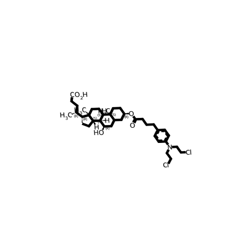 C[C@H](CCC(=O)O)[C@H]1CC[C@H]2[C@@H]3[C@H](O)CC4C[C@H](OC(=O)CCCc5ccc(N(CCCl)CCCl)cc5)CC[C@]4(C)[C@H]3CC[C@]12C